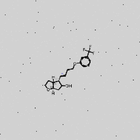 OC1C[C@H]2OCC[C@@H]2[C@H]1/C=C/CCOc1cccc(C(F)(F)F)c1